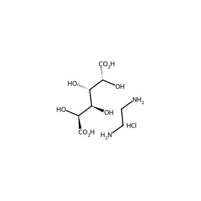 Cl.NCCN.O=C(O)[C@@H](O)[C@H](O)[C@H](O)[C@@H](O)C(=O)O